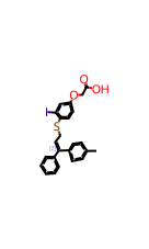 Cc1ccc(/C(=C\CSc2ccc(OCC(=O)O)cc2I)c2ccccc2)cc1